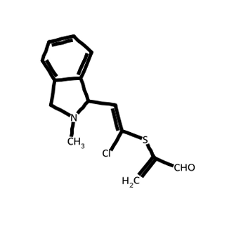 C=C(C=O)S/C(Cl)=C/C1c2ccccc2CN1C